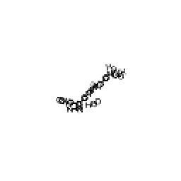 N#Cc1cnn2cc(-c3ccc(N4CCN(C(=O)CN5CCC(c6ccc(NC7CCC(=O)NC7=O)cc6)CC5)CC4)cc3)cc(-c3ccc(N4CCOCC4)nc3)c12.O=CO